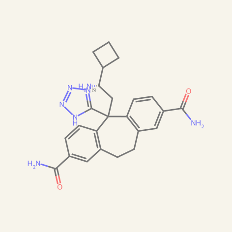 NC(=O)c1ccc2c(c1)CCc1cc(C(N)=O)ccc1C2(C[C@H](N)C1CCC1)c1nnn[nH]1